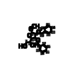 CO[C@H]1O[C@@H]([C@H](O)CO)[C@H](OCc2ccccc2)[C@H]1OCc1ccccc1